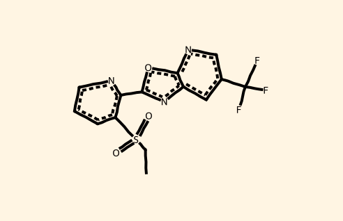 CCS(=O)(=O)c1cccnc1-c1nc2cc(C(F)(F)F)cnc2o1